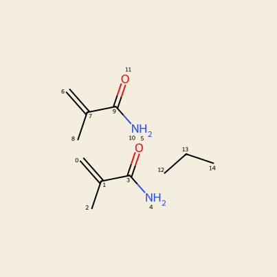 C=C(C)C(N)=O.C=C(C)C(N)=O.CCC